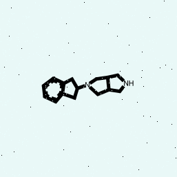 c1ccc2c(c1)CC(N1CC3CNCC3C1)C2